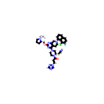 CN1CCC[C@H]1COc1nc2c(c(N3CCN(C(=O)/C=C/n4cncn4)[C@@H](CC#N)C3)n1)CCN(c1cccc3ccc(F)c(Cl)c13)C2